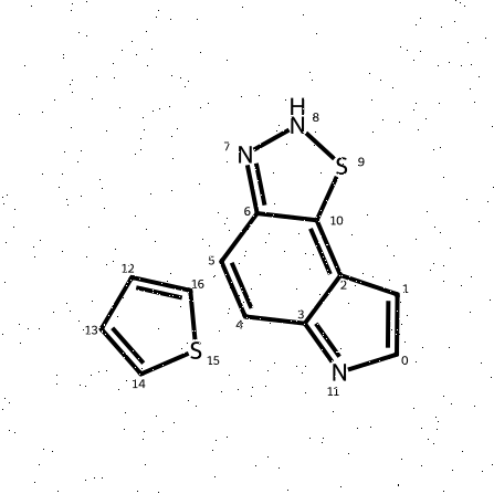 c1cc2c(ccc3n[nH]sc32)n1.c1ccsc1